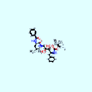 CC(C)CC(NC(=O)c1ccccc1)C(=O)NCC(O)C(O)C(CC1CCCCC1)NC(=O)OC(C)(C)C